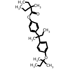 CCC(C)(C)Oc1ccc(C(C)(CC)c2ccc(OC(=O)C(C)(CC)CC)cc2)cc1